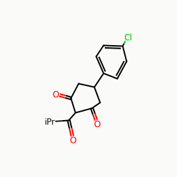 CC(C)C(=O)C1C(=O)CC(c2ccc(Cl)cc2)CC1=O